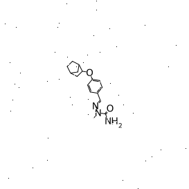 CN(N=Cc1ccc(OC2CC3CCC2C3)cc1)C(N)=O